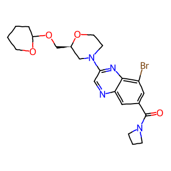 O=C(c1cc(Br)c2nc(N3CCO[C@H](COC4CCCCO4)C3)cnc2c1)N1CCC1